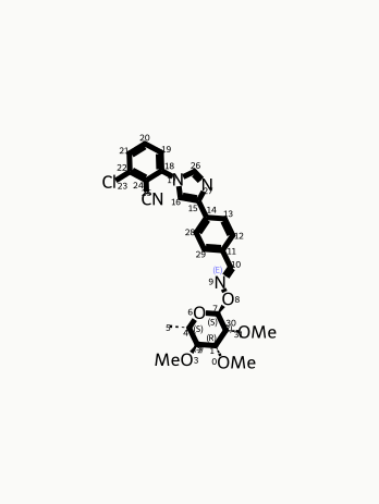 CO[C@@H]1[C@@H](OC)[C@H](C)O[C@@H](O/N=C/c2ccc(-c3cn(-c4cccc(Cl)c4C#N)cn3)cc2)[C@@H]1OC